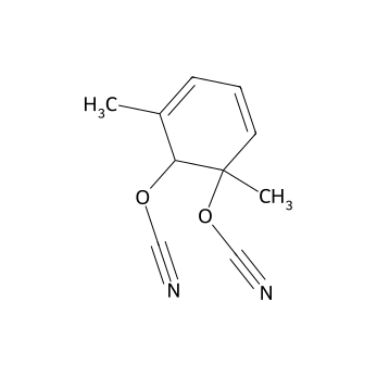 CC1=CC=CC(C)(OC#N)C1OC#N